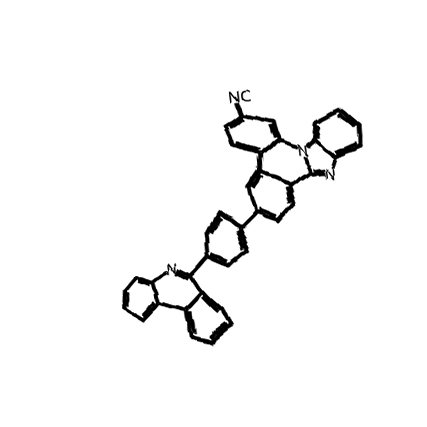 [C-]#[N+]c1ccc2c3cc(-c4ccc(-c5nc6ccccc6c6ccccc56)cc4)ccc3c3nc4ccccc4n3c2c1